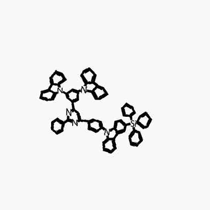 c1ccc(-c2nc(-c3ccc(-n4c5ccccc5c5cc([Si](c6ccccc6)(c6ccccc6)c6ccccc6)ccc54)cc3)cc(-c3cc(-n4c5ccccc5c5ccccc54)cc(-n4c5ccccc5c5ccccc54)c3)n2)cc1